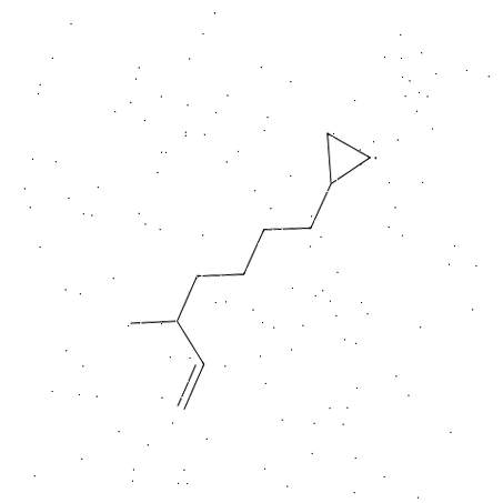 C=CC(C)CCCCC1[CH]C1